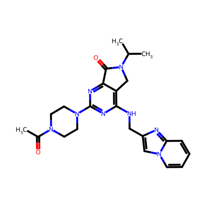 CC(=O)N1CCN(c2nc(NCc3cn4ccccc4n3)c3c(n2)C(=O)N(C(C)C)C3)CC1